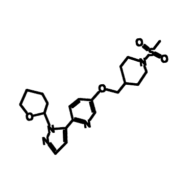 CS(=O)(=O)N1CCC(COc2ccc(-c3ccnn3C3CCCCO3)nc2)CC1